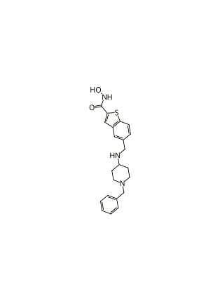 O=C(NO)c1cc2cc(CNC3CCN(Cc4ccccc4)CC3)ccc2s1